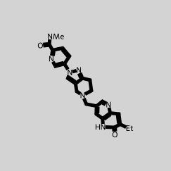 CCc1cc2ncc(CN3CCc4nn(-c5ccc(C(=O)NC)nc5)cc4C3)cc2[nH]c1=O